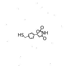 O=c1cc(-c2ccc(CS)cc2)oc(=O)[nH]1